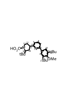 COc1c(C(C)(C)C)cc(-c2cccc(C3CCN(C(=O)O)C(C(C)(C)C)C3)n2)cc1C(C)(C)C